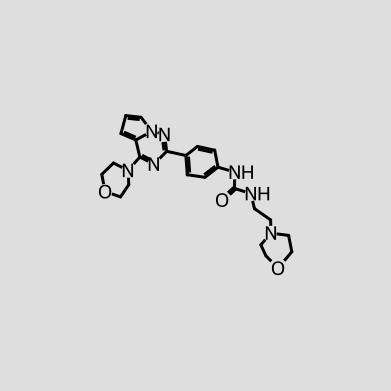 O=C(NCCN1CCOCC1)Nc1ccc(-c2nc(N3CCOCC3)c3cccn3n2)cc1